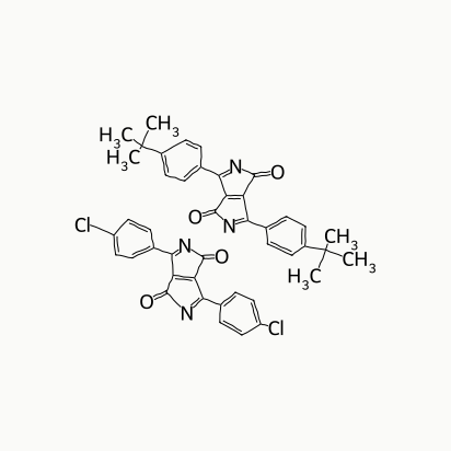 CC(C)(C)c1ccc(-c2nc(=O)c3c(-c4ccc(C(C)(C)C)cc4)nc(=O)c2=3)cc1.O=c1nc(-c2ccc(Cl)cc2)c2c(=O)nc(-c3ccc(Cl)cc3)c1=2